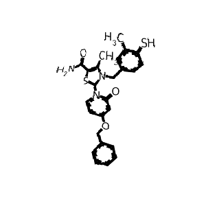 CC1=C(C(N)=O)SC(n2ccc(OCc3ccccc3)cc2=O)N1Cc1ccc(S)c(C)c1